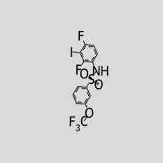 O=S(=O)(Nc1ccc(F)c(I)c1F)c1cccc(OC(F)(F)F)c1